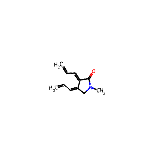 C=C/C=C1/CN(C)C(=O)/C1=C/C=C